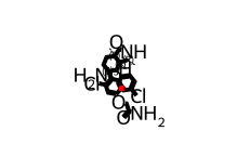 C[C@H]1NC(=O)[C@]2(C)CC[C@@](N)(c3ccc(OCC(N)=O)cc3Cl)[C@H](c3ccc(Cl)cc3)[C@H]12